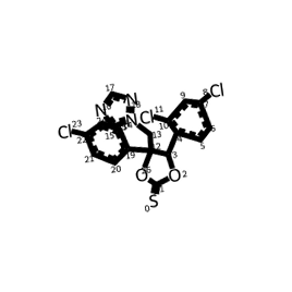 S=C1OC(c2ccc(Cl)cc2Cl)C(Cn2cncn2)(c2ccc(Cl)cc2)O1